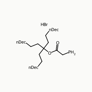 Br.CCCCCCCCCCCCC(CCCCCCCCCCCC)(CCCCCCCCCCCC)OC(=O)CP